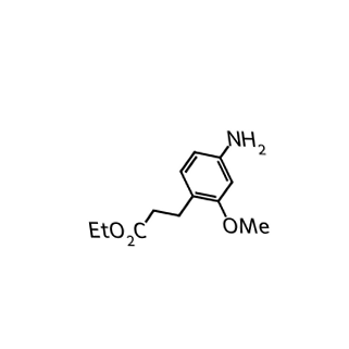 CCOC(=O)CCc1ccc(N)cc1OC